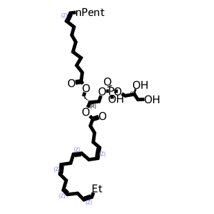 CC/C=C\C/C=C\C/C=C\C/C=C\C/C=C\CCCC(=O)O[C@H](COC(=O)CCCCCCC/C=C\CCCCC)COP(=O)(O)OC[C@@H](O)CO